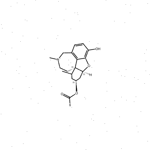 CC(=O)O[C@H]1CC(C)[C@@]23CCN(C)Cc4ccc(O)c(c42)O[C@H]3C1